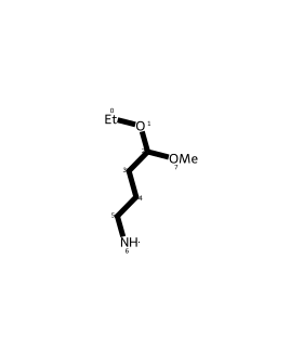 CCOC(CCC[NH])OC